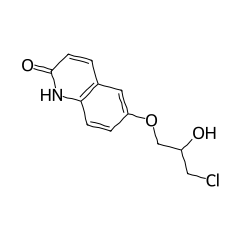 O=c1ccc2cc(OCC(O)CCl)ccc2[nH]1